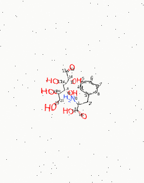 NC(Cc1ccccc1)C(=O)O.O=C[C@H](O)[C@@H](O)[C@H](O)[C@H](O)CO